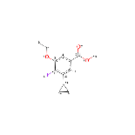 CCOc1cc(C(=O)OC)cc(C2CC2)c1I